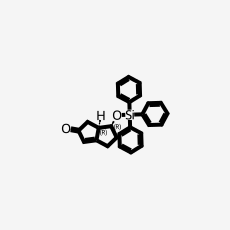 O=C1C=C2CC[C@@H](O[Si](c3ccccc3)(c3ccccc3)c3ccccc3)[C@@H]2C1